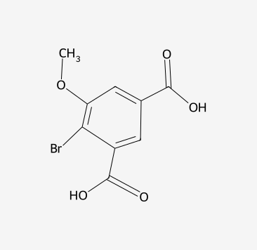 COc1cc(C(=O)O)cc(C(=O)O)c1Br